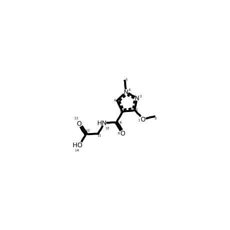 COc1nn(C)cc1C(=O)NCC(=O)O